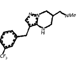 CNCC1CNc2c(Cc3cccc(C(F)(F)F)c3)cnn2C1